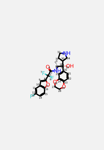 C[C@@H](NC(=O)C(F)(F)c1cc2cc(F)ccc2o1)[C@](O)(c1ccc2c(c1)OCCO2)C1CCNC1